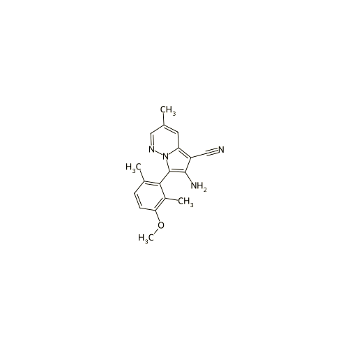 COc1ccc(C)c(-c2c(N)c(C#N)c3cc(C)cnn23)c1C